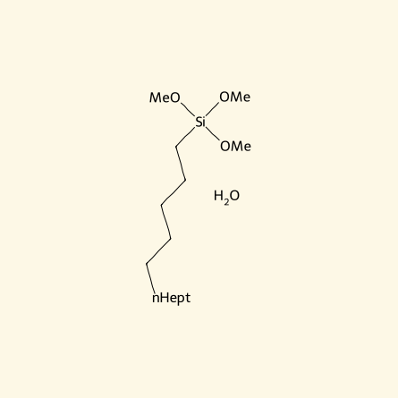 CCCCCCCCCCCC[Si](OC)(OC)OC.O